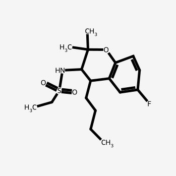 CCCCC1c2cc(F)ccc2OC(C)(C)C1NS(=O)(=O)CC